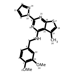 COc1ccc(CNc2nc(-n3cccn3)nc3scc(C)c23)cc1OC